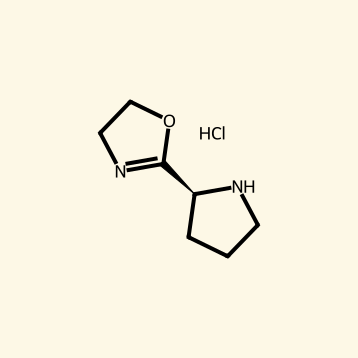 C1CN[C@H](C2=NCCO2)C1.Cl